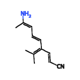 CC(C)=C(/C=C/C#N)/C=C/C=C(\C)N